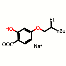 CCCCC(CC)COc1ccc(C(=O)[O-])c(O)c1.[Na+]